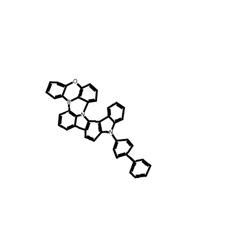 c1ccc(-c2ccc(-n3c4ccccc4c4c3ccc3c5cccc6c5n(c34)-c3cccc4c3B6c3ccccc3O4)cc2)cc1